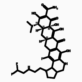 CN(C)[C@@H]1C(O)=C(C(N)=O)C(=O)[C@@]2(O)C(O)=C3C(=O)c4c(O)c5c(c(F)c4C[C@H]3C[C@@H]12)C1C(CCN1CCNCC(F)F)CN5